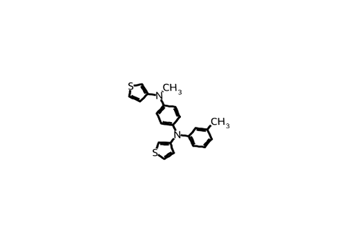 Cc1cccc(N(c2ccc(N(C)c3ccsc3)cc2)c2ccsc2)c1